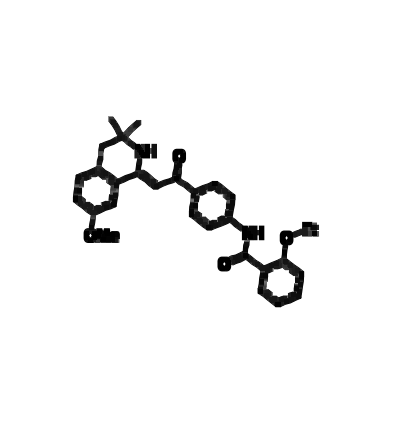 CCOc1ccccc1C(=O)Nc1ccc(C(=O)C=C2NC(C)(C)Cc3ccc(OC)cc32)cc1